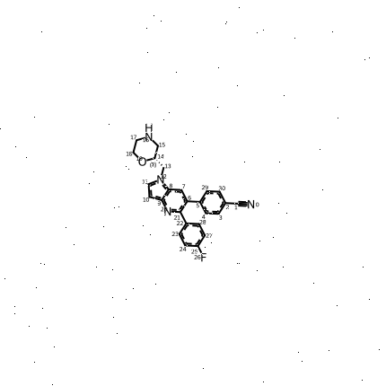 N#Cc1ccc(-c2cc3c(ccn3C[C@H]3CNCCO3)nc2-c2ccc(F)cc2)cc1